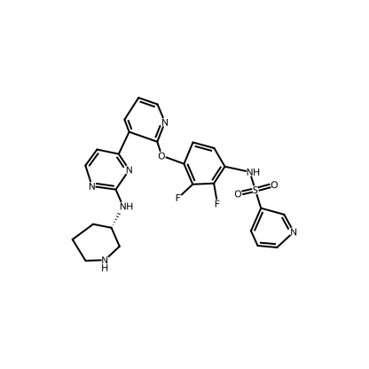 O=S(=O)(Nc1ccc(Oc2ncccc2-c2ccnc(N[C@H]3CCCNC3)n2)c(F)c1F)c1cccnc1